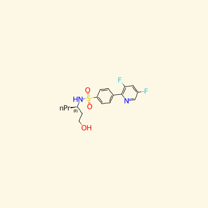 CCC[C@H](CCO)NS(=O)(=O)c1ccc(-c2ncc(F)cc2F)cc1